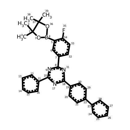 CC1(C)OB(c2cc(-c3nc(-c4ccccc4)nc(-c4ccc(-c5ccccc5)cc4)n3)ccc2F)OC1(C)C